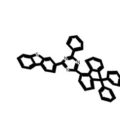 c1ccc(-c2nc(-c3ccc4c(c3)sc3ccccc34)nc(-c3cccc4c3-c3ccccc3C4(c3ccccc3)c3ccccc3)n2)cc1